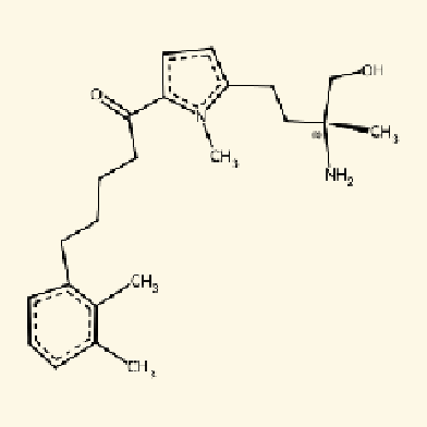 Cc1cccc(CCCCC(=O)c2ccc(CC[C@@](C)(N)CO)n2C)c1C